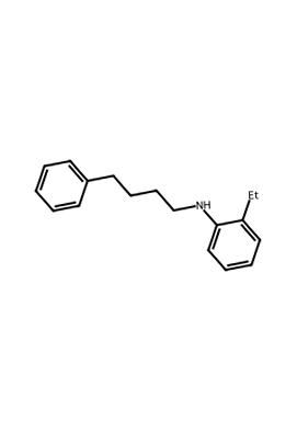 CCc1ccccc1NCCCCc1ccccc1